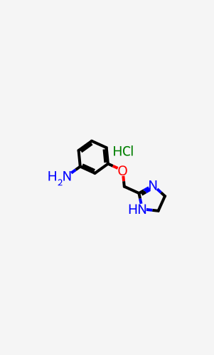 Cl.Nc1cccc(OCC2=NCCN2)c1